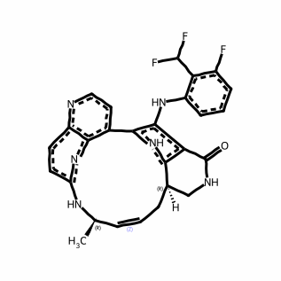 C[C@@H]1/C=C\C[C@@H]2CNC(=O)c3c2[nH]c(c3Nc2cccc(F)c2C(F)F)-c2ccnc3ccc(nc23)N1